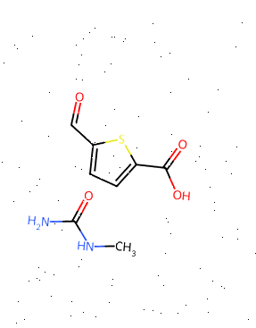 CNC(N)=O.O=Cc1ccc(C(=O)O)s1